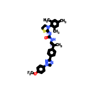 C/C(=C\NC(=O)/N=C1\SCCN1c1c(C)cc(C)cc1C)c1ccc(-c2ncn(-c3ccc(OC(F)(F)F)cc3)n2)cc1